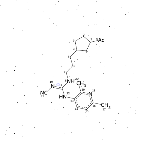 CC(=O)C1CCC(CCCN/C(=N/C#N)Nc2ccc(C)nc2C)C1